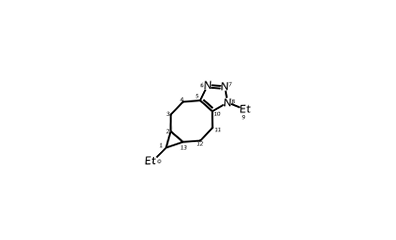 CCC1C2CCc3nnn(CC)c3CCC12